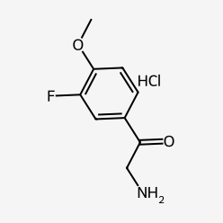 COc1ccc(C(=O)CN)cc1F.Cl